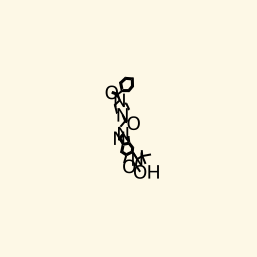 Cc1cc2nn(CC(=O)N3CCN(C(=O)c4ccccc4)CC3)cc2cc1N(C(=O)O)C(C)(C)C